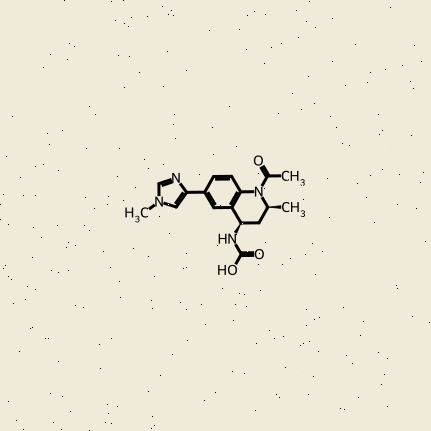 CC(=O)N1c2ccc(-c3cn(C)cn3)cc2[C@H](NC(=O)O)C[C@@H]1C